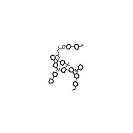 C=Cc1ccc(-c2ccc(OCC(C)CCC(C)CC3(c4ccc(C(C)(C)C)cc4)c4ccccc4-c4ccc(N(c5ccc(-c6ccccc6)cc5)c5ccc(-c6ccc7c(c6)c6cc(-c8ccc(C=C)cc8)ccc6n7-c6ccccc6)cc5)cc43)cc2)cc1